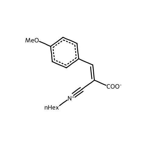 CCCCCC[N+]#CC(=Cc1ccc(OC)cc1)C(=O)[O-]